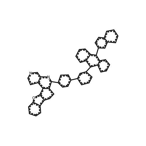 c1cc(-c2ccc(-c3nc4cnccc4c4c3ccc3c5ccccc5oc34)cc2)cc(-c2c3ccccc3c(-c3ccc4ccccc4c3)c3ccccc23)c1